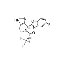 O=C([C@@H]1CC1(F)F)N1CCc2[nH]cnc2[C@H]1c1nc2cc(F)ccc2o1